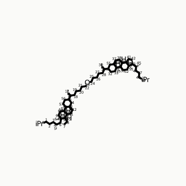 CC(C)CCC[C@@H](C)[C@H]1CC[C@H]2[C@@H]3CC=C4CC(C(I)CCCCCOCCCCCC(I)C5CC[C@@]6(C)C(=CC[C@H]7[C@@H]8CC[C@H]([C@H](C)CCCC(C)C)[C@@]8(C)CC[C@@H]76)C5)CC[C@]4(C)[C@H]3CC[C@]12C